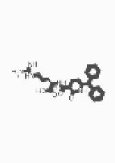 N=C(N)NCCC[C@@H](NC(=O)c1ccc(C(c2ccccc2)c2ccccc2)[nH]c1=O)C(=O)O